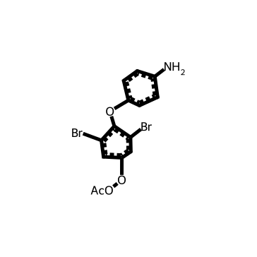 CC(=O)OOc1cc(Br)c(Oc2ccc(N)cc2)c(Br)c1